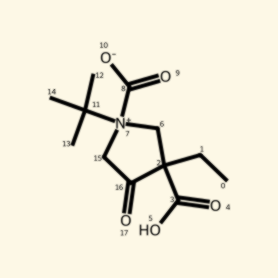 CCC1(C(=O)O)C[N+](C(=O)[O-])(C(C)(C)C)CC1=O